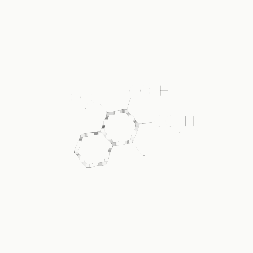 O=C(O)c1c(C(=O)O)c(C(=O)O)c2ccccc2c1I